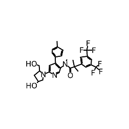 Cc1ccc(-c2cc(N3CC(O)CC3CO)ncc2N(C)C(=O)C(C)(C)c2cc(C(F)(F)F)cc(C(F)(F)F)c2)cc1